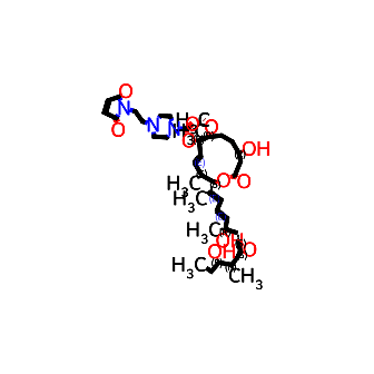 CC[C@H](O)[C@@H](C)[C@@H]1O[C@H]1C[C@@](C)(O)/C=C/C=C(\C)[C@H]1OC(=O)C[C@H](O)CC[C@@](C)(OC)[C@H](OC(=O)N2CCN(CCN3C(=O)C=CC3=O)CC2)/C=C/[C@@H]1C